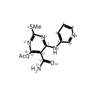 CSc1nc(Nc2cccnc2)c(C(N)=O)c(OC(C)=O)n1